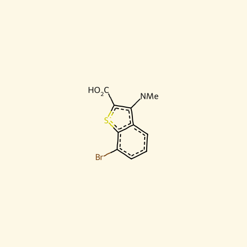 CNc1c(C(=O)O)sc2c(Br)cccc12